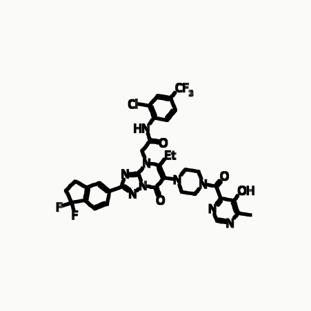 CCc1c(N2CCN(C(=O)c3ncnc(C)c3O)CC2)c(=O)n2nc(-c3ccc4c(c3)CCC4(F)F)nc2n1CC(=O)Nc1ccc(C(F)(F)F)cc1Cl